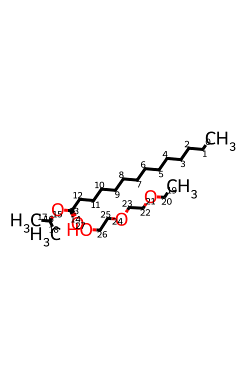 CCCCCCCCCCCCCC(=O)OC(C)C.CCOCCOCCO